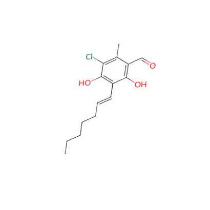 CCCCCC=Cc1c(O)c(Cl)c(C)c(C=O)c1O